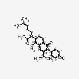 CC(=O)N(CCC=C(C)C)c1ccc2c(=O)n(-c3ccc(Cl)cc3)c(C(C)C)nc2c1C